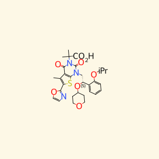 Cc1c(-c2ncco2)sc2c1c(=O)n(C(C)(C)C(=O)O)c(=O)n2C[C@@H](OC1CCOCC1)c1ccccc1OC(C)C